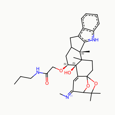 CCCNC(=O)CO[C@H]1CC2Cc3c([nH]c4ccccc34)[C@]2(C)C2(C)CCC34OC(/C(=N/C)C=C3[C@]12O)C(C)(C)O4